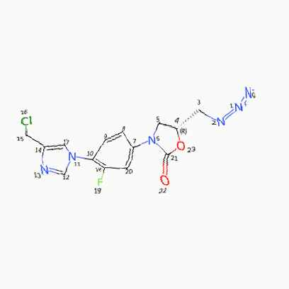 [N-]=[N+]=NC[C@H]1CN(c2ccc(-n3cnc(CCl)c3)c(F)c2)C(=O)O1